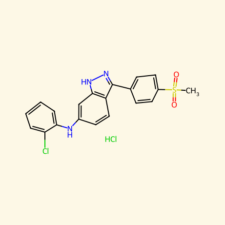 CS(=O)(=O)c1ccc(-c2n[nH]c3cc(Nc4ccccc4Cl)ccc23)cc1.Cl